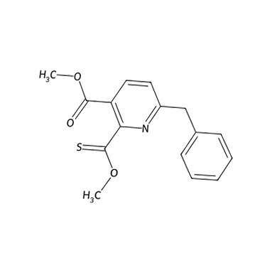 COC(=O)c1ccc(Cc2ccccc2)nc1C(=S)OC